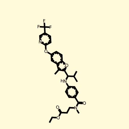 CCOC(=O)CCN(C)C(=O)c1ccc(NC(c2oc3ccc(Oc4ccc(C(F)(F)F)cn4)cc3c2C)C(C)C)cc1